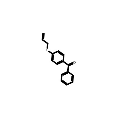 C=CCOc1ccc(C(=O)c2ccccc2)cc1